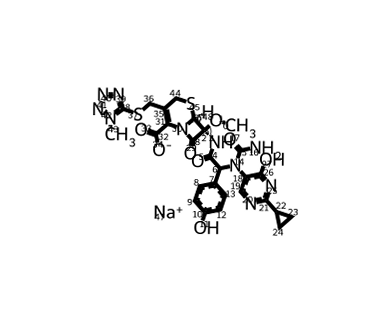 CO[C@@]1(NC(=O)C(c2ccc(O)cc2)N(C(N)=O)c2cnc(C3CC3)nc2O)C(=O)N2C(C(=O)[O-])=C(CSc3nnnn3C)CS[C@H]21.[Na+]